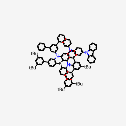 CC(C)(C)c1cc(-c2ccc3c(c2)N(c2cc(-c4ccccc4)cc(-c4ccccc4)c2)c2cc(N(c4ccccc4)c4ccc(-n5c6ccccc6c6ccccc65)cc4)cc4c2B3c2ccc(-c3cc(C(C)(C)C)cc(C(C)(C)C)c3)cc2N4c2c(-c3ccccc3)cc(C(C)(C)C)cc2-c2ccccc2)cc(C(C)(C)C)c1